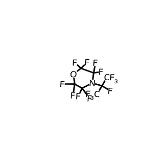 FC(F)(F)C(F)(N1C(F)(F)C(F)(F)OC(F)(F)C1(F)F)C(F)(F)F